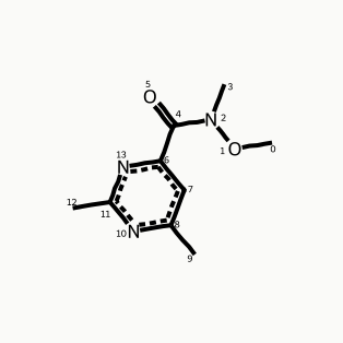 CON(C)C(=O)c1cc(C)nc(C)n1